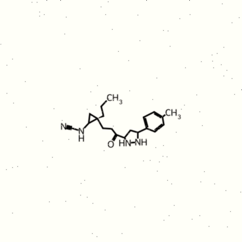 CCC[C@]1(CCC(=O)C2CC(c3ccc(C)cc3)NN2)CC1NC#N